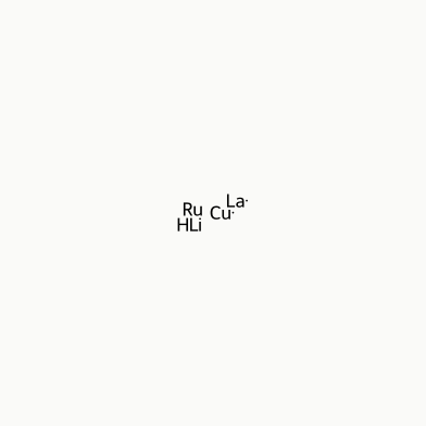 [Cu].[La].[LiH].[Ru]